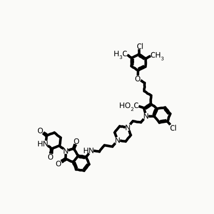 Cc1cc(OCCCc2c(C(=O)O)n(CCN3CCN(CCCNc4cccc5c4C(=O)N(C4CCC(=O)NC4=O)C5=O)CC3)c3cc(Cl)ccc23)cc(C)c1Cl